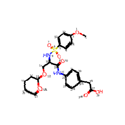 COc1ccc(S(=O)(=O)NC(COC2CCCCO2)C(=O)Nc2ccc(CC(=O)O)cc2)cc1